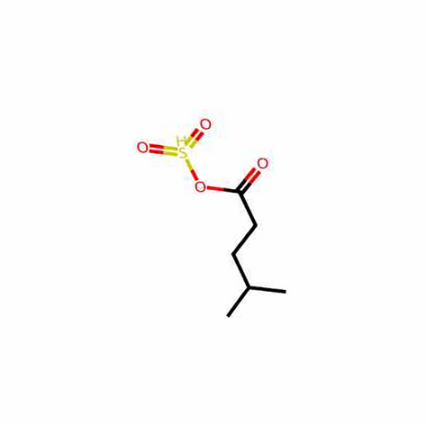 CC(C)CCC(=O)O[SH](=O)=O